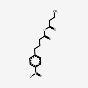 CCCC(=O)OC(=O)CCCc1ccc([N+](=O)[O-])cc1